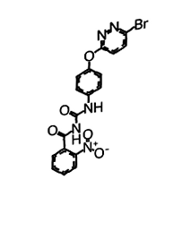 O=C(NC(=O)c1ccccc1[N+](=O)[O-])Nc1ccc(Oc2ccc(Br)nn2)cc1